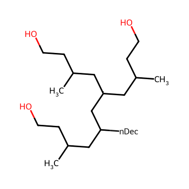 CCCCCCCCCCC(C[C](CC(C)CCO)CC(C)CCO)CC(C)CCO